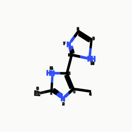 CCc1nc(C)c(-c2ncc[nH]2)[nH]1